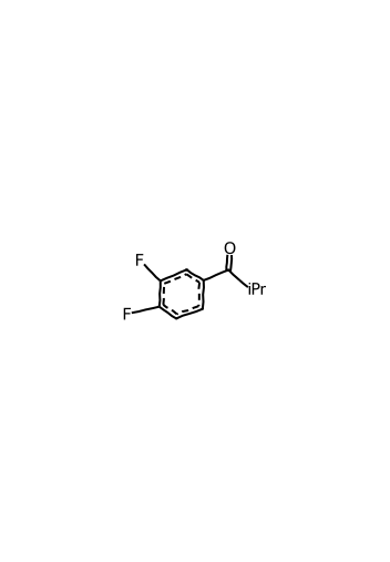 CC(C)C(=O)c1ccc(F)c(F)c1